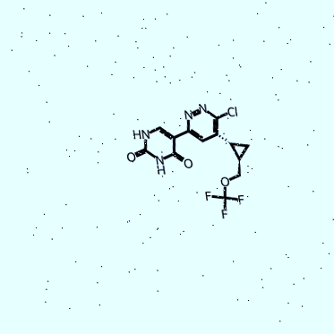 O=c1[nH]cc(-c2cc([C@@H]3C[C@H]3COC(F)(F)F)c(Cl)nn2)c(=O)[nH]1